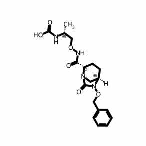 C[C@H](CONC(=O)[C@@H]1CC[C@@H]2CN1C(=O)N2OCc1ccccc1)NC(=O)O